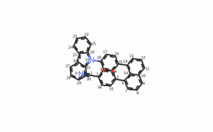 N#Cc1ccc(-c2cccc3cccc(-c4ccc(-n5c6ccccc6c6ccccc65)cc4)c23)cc1